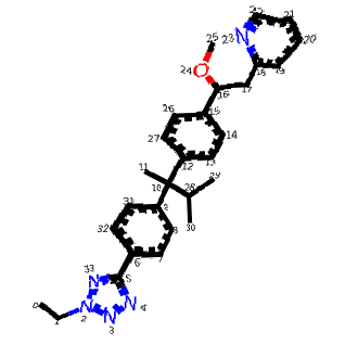 CCn1nnc(-c2ccc(C(C)(c3ccc(C(Cc4ccccn4)OC)cc3)C(C)C)cc2)n1